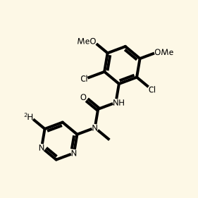 [2H]c1cc(N(C)C(=O)Nc2c(Cl)c(OC)cc(OC)c2Cl)ncn1